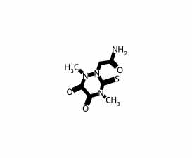 Cn1c(=O)c(=O)n(C)n(CC(N)=O)c1=S